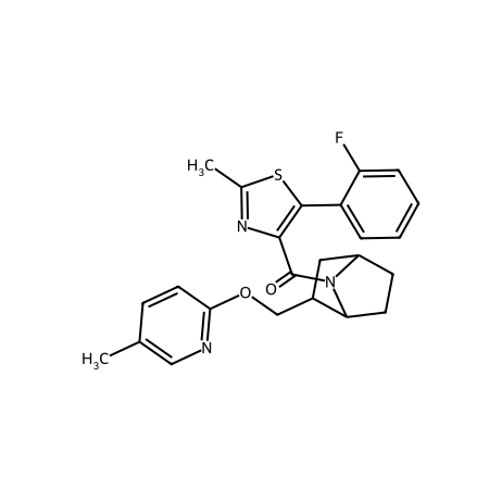 Cc1ccc(OCC2CC3CCC2N3C(=O)c2nc(C)sc2-c2ccccc2F)nc1